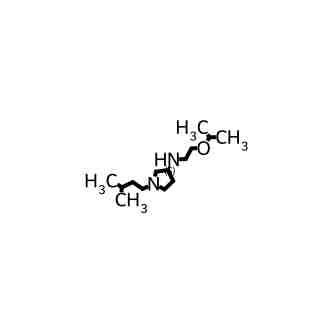 CC(C)CCN1CC[C@H](NCCOC(C)C)C1